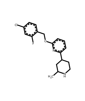 CC1CC(c2cccc(OCc3ccc(Cl)cc3F)n2)CCN1